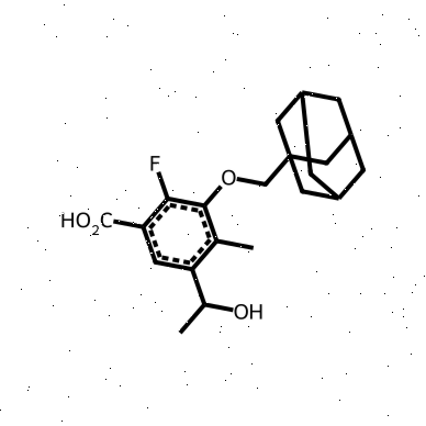 Cc1c(C(C)O)cc(C(=O)O)c(F)c1OCC12CC3CC(CC(C3)C1)C2